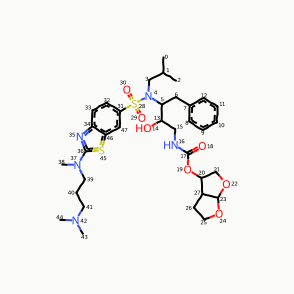 CC(C)CN(C(Cc1ccccc1)C(O)CNC(=O)OC1COC2OCCC12)S(=O)(=O)c1ccc2nc(N(C)CCCN(C)C)sc2c1